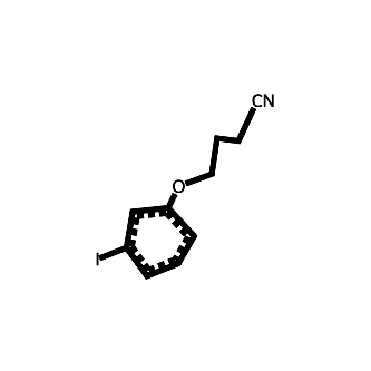 N#CCCCOc1cccc(I)c1